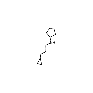 C(CNC1CCCC1)CC1CC1